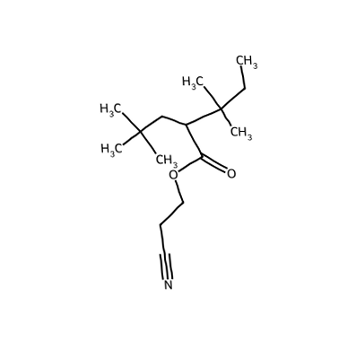 CCC(C)(C)C(CC(C)(C)C)C(=O)OCCC#N